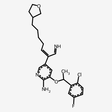 CC(Oc1cc(/C(C=N)=C/CCCCC2CCOC2)cnc1N)c1cc(F)ccc1Cl